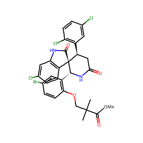 COC(=O)C(C)(C)COc1ccc(Br)cc1[C@H]1NC(=O)C[C@H](c2cc(Cl)ccc2Cl)[C@]12C(=O)Nc1cc(Cl)ccc12